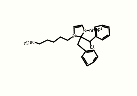 CCCCCCCCCCCCCCCN1C=CN(CCCCCCC)C1(Cc1ccccc1)C(CC)c1ccccc1